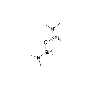 CN(C)[SiH2]O[SiH2]N(C)C